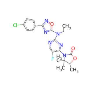 CCN(c1ncc(F)c(N2C(=O)OC(C)C2(C)C)n1)c1nc(-c2ccc(Cl)cc2)no1